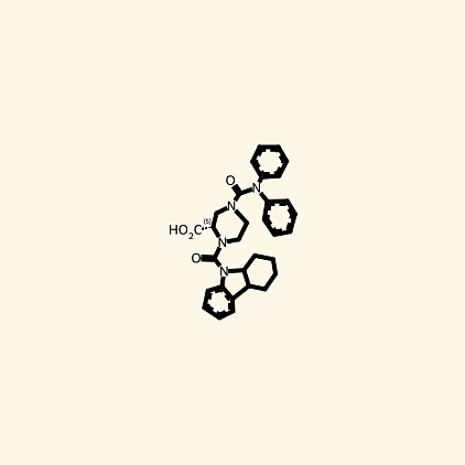 O=C(O)[C@@H]1CN(C(=O)N(c2ccccc2)c2ccccc2)CCN1C(=O)N1c2ccccc2C2CCCCC21